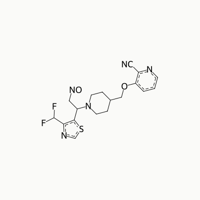 N#Cc1ncccc1OCC1CCN(C(CN=O)c2scnc2C(F)F)CC1